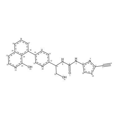 C#Cc1nc(NC(=O)NC(CO)c2ccc(-c3cccc4ccnc(O)c34)cn2)cs1